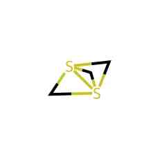 C1S23CS12C3